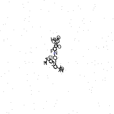 Cc1ccc(-c2c(C)noc2C)cc1N(CC1CCC(/C=N/c2cc3c(cc2F)CN(C2CCC(=O)NC2=O)C3=O)CC1)c1ccc(C2(C#N)CC2)c(Cl)c1